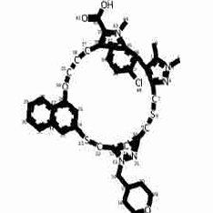 Cc1c2c(nn1C)CSCc1cc(n(CC3CCOCC3)n1)CSc1cc(c3ccccc3c1)OCCCc1c(C(=O)O)n(C)c3c-2c(Cl)ccc13